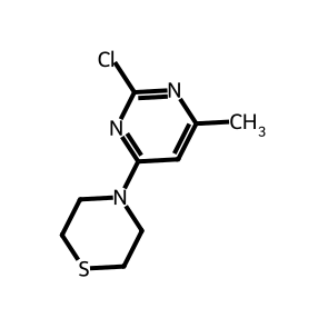 Cc1cc(N2CCSCC2)nc(Cl)n1